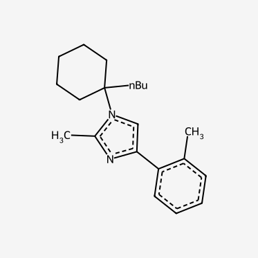 CCCCC1(n2cc(-c3ccccc3C)nc2C)CCCCC1